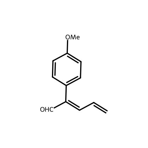 C=C/C=C(/C=O)c1ccc(OC)cc1